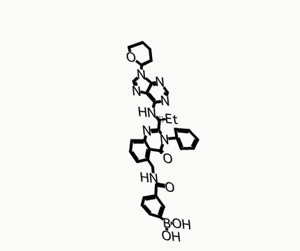 CC[C@H](Nc1ncnc2c1ncn2C1CCCCO1)c1nc2cccc(CNC(=O)c3cccc(B(O)O)c3)c2c(=O)n1-c1ccccc1